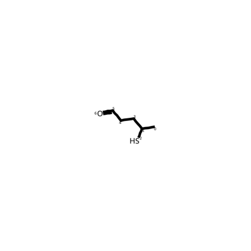 CC(S)CCC=O